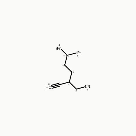 C#CC(CC#N)CCN(C(C)C)C(C)C